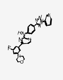 Fc1cc(-c2ccnc(Nc3ccc(-c4nnn(-c5cccnc5)n4)cc3)n2)cc(N2CCOCC2)c1